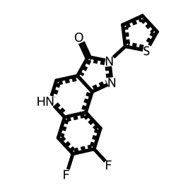 O=c1c2c[nH]c3cc(F)c(F)cc3c-2nn1-c1cccs1